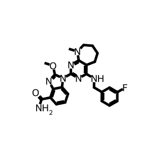 COc1nc2c(C(N)=O)cccc2n1-c1nc(NCc2cccc(F)c2)c2c(n1)N(C)CCCC2